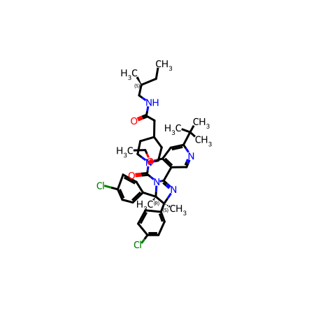 CCOc1cc(C(C)(C)C)ncc1C1=N[C@@](C)(c2ccc(Cl)cc2)[C@@](C)(c2ccc(Cl)cc2)N1C(=O)N1CCC(CC(=O)NC[C@@H](C)CC)CC1